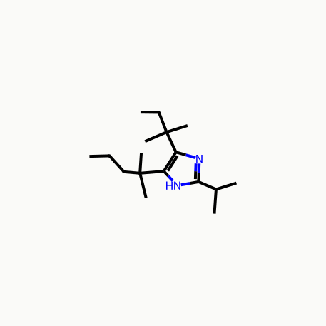 CCCC(C)(C)c1[nH]c(C(C)C)nc1C(C)(C)CC